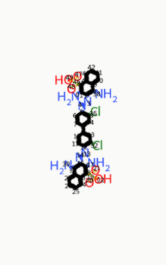 Nc1c(/N=N/c2ccc(-c3ccc(/N=N/c4c(N)c(S(=O)(=O)O)c5ccccc5c4N)c(Cl)c3)cc2Cl)c(N)c2ccccc2c1S(=O)(=O)O